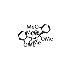 COc1ccccc1C(OC)(OC)SC(OC)(OC)c1ccccc1OC